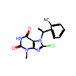 CC(c1ccccc1C#N)n1c(Cl)nc2c1c(=O)[nH]c(=O)n2C